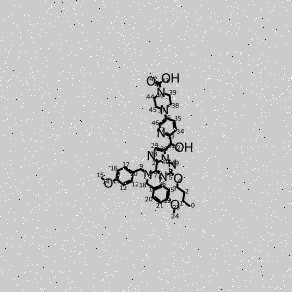 CCCCOc1nc(N(Cc2ccc(OC)cc2)Cc2ccc(OC)cc2)c2ncc(C(O)c3ccc(N4CCN(C(=O)O)CC4)cn3)n2n1